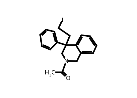 CC(=O)N1Cc2ccccc2C(CCI)(c2ccccc2)C1